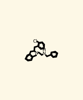 Clc1ccccc1CC1Cc2ccccc2CN1CCNCc1ccccc1